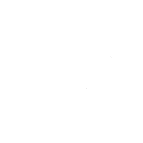 Cc1c(F)cc(OC(CCN(C)c2ccc([N+](=O)[O-])cc2)c2ccccc2)c(F)c1F